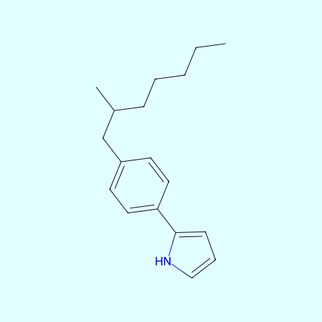 CCCCCC(C)Cc1ccc(-c2ccc[nH]2)cc1